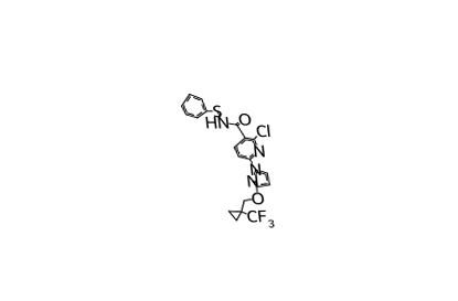 O=C(NSc1ccccc1)c1ccc(-n2ccc(OCC3(C(F)(F)F)CC3)n2)nc1Cl